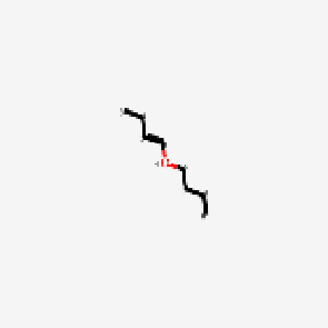 CCC=COCCCC